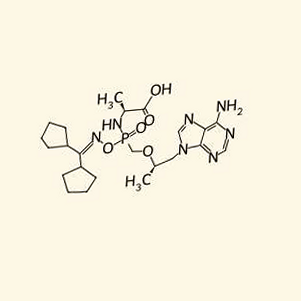 C[C@H](Cn1cnc2c(N)ncnc21)OCP(=O)(N[C@@H](C)C(=O)O)ON=C(C1CCCC1)C1CCCC1